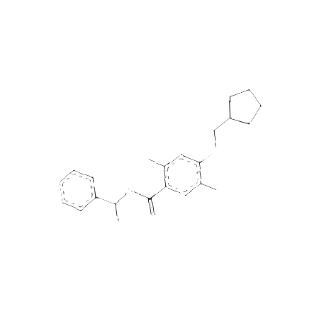 O=C(NC(C(=O)O)c1ccccc1)c1cc(Cl)c(OCC2CCCC2)cc1F